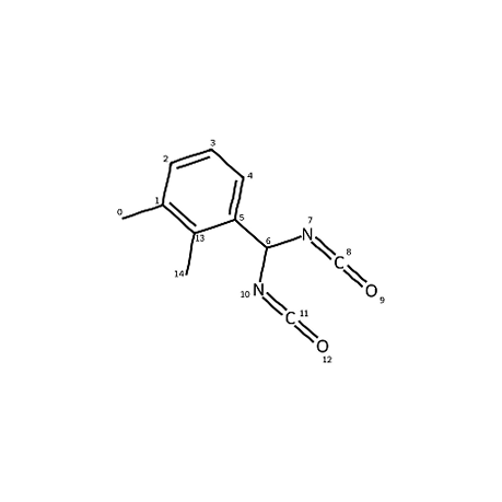 Cc1cccc(C(N=C=O)N=C=O)c1C